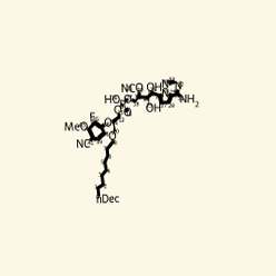 CCCCCCCCCCCCCCCCCCOC[C@H](COP(=O)(O)OC[C@@H](OC#N)[C@@H](O)[C@@H](O)c1ccc2c(N)ncnn12)Oc1ccc(C#N)c(OC)c1F